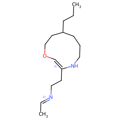 C/C=N/CC/C1=C\OCCC(CCC)CCCN1